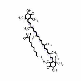 CC1=C(/C=C/C(C)=C/C=C/C(C)=C/C=C/C=C(C)/C=C/C=C(C)/C=C/C2=C(C)C(=O)C(O)CC2(C)C)C(C)(C)CC(O)C1=O.CCCCCCCCCC(=O)O